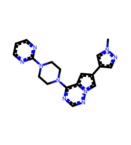 Cn1cc(-c2cc3c(N4CCN(c5ncccn5)CC4)ncnn3c2)cn1